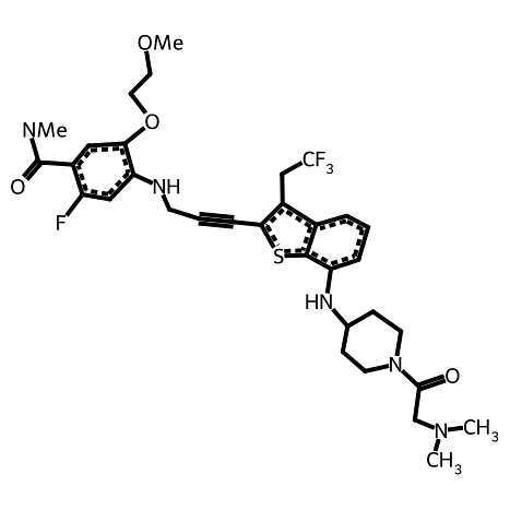 CNC(=O)c1cc(OCCOC)c(NCC#Cc2sc3c(NC4CCN(C(=O)CN(C)C)CC4)cccc3c2CC(F)(F)F)cc1F